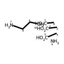 CC(=O)O.CC(=O)O.CC(=O)O.N.NCCO